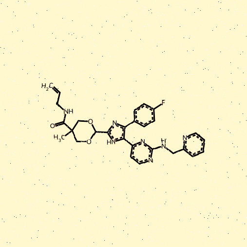 C=CCNC(=O)C1(C)COC(c2nc(-c3ccc(F)cc3)c(-c3ccnc(NCc4ccccn4)n3)[nH]2)OC1